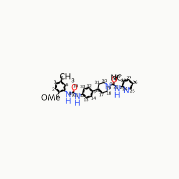 COc1ccc(C)cc1NC(=O)Nc1ccc(C2=CCN(C(=O)Nc3ncccc3C#N)CC2)cc1